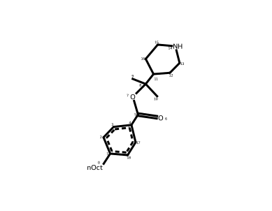 CCCCCCCCc1ccc(C(=O)OC(C)(C)C2CCNCC2)cc1